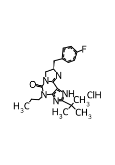 CCCN1C(=O)N2C[C@@H](Cc3ccc(F)cc3)N=C2c2[nH]c(C(C)(C)C)nc21.Cl